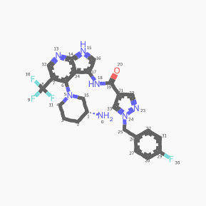 N[C@@H]1CCCN(c2c(C(F)(F)F)cnc3[nH]cc(NC(=O)c4cnn(Cc5ccc(F)cc5)c4)c23)C1